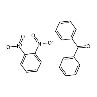 O=C(c1ccccc1)c1ccccc1.O=[N+]([O-])c1ccccc1[N+](=O)[O-]